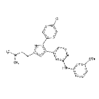 COc1cccc(Nc2nccc(-c3cn(CCN(C)C)nc3-c3ccc(Cl)cc3)n2)c1